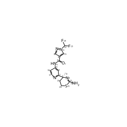 C[C@@]1(c2cc(NC(=O)c3cnn(C(F)F)c3)ccn2)CCSC(N)=N1